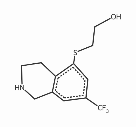 OCCSc1cc(C(F)(F)F)cc2c1CCNC2